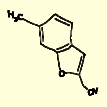 Cc1ccc2cc(C#N)oc2c1